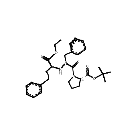 CCOC(=O)C(CCc1ccccc1)NN(Cc1ccccc1)C(=O)N1CCC[C@H]1C(=O)OC(C)(C)C